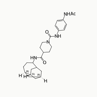 CC(=O)Nc1ccc(NC(=O)N2CCC(C(=O)NC3CC[C@@H]4C[C@H]5CC3C[C@@H]4C5)CC2)cc1